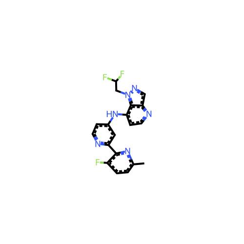 Cc1ccc(F)c(-c2cc(Nc3ccnc4cnn(CC(F)F)c34)ccn2)n1